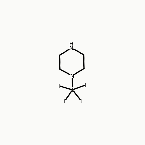 II(I)(I)(I)N1CCNCC1